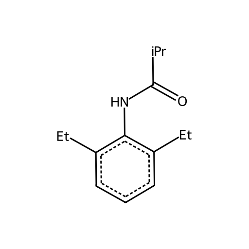 CCc1cccc(CC)c1NC(=O)C(C)C